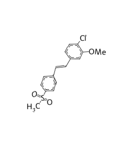 COc1cc(/C=C/c2ccc(S(C)(=O)=O)cc2)ccc1Cl